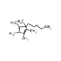 CC1=C(C)C(C)(CCCCN)C(C)=C1C